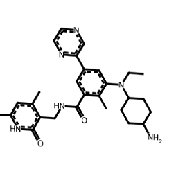 CCN(c1cc(-c2cnccn2)cc(C(=O)NCc2c(C)cc(C)[nH]c2=O)c1C)C1CCC(N)CC1